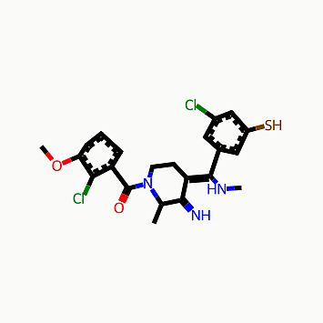 CN/C(=C1/CCN(C(=O)c2cccc(OC)c2Cl)C(C)C1=N)c1cc(S)cc(Cl)c1